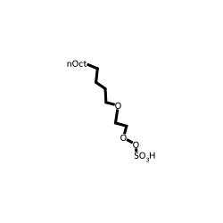 CCCCCCCCCCCCOCCOOS(=O)(=O)O